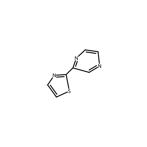 [c]1csc(-c2cnccn2)n1